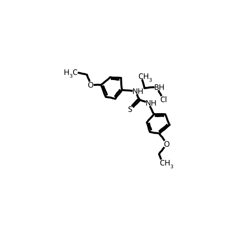 CCBCl.CCOc1ccc(NC(=S)Nc2ccc(OCC)cc2)cc1